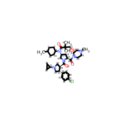 CC1CCC(N(C(=O)C(C)(C)CO)[C@H]2C[C@@H](C(=O)N3CCN(C)CC3)N(C(=O)[C@@H]3CN(C4CC4)C[C@H]3c3ccc(Cl)cc3)C2)CC1